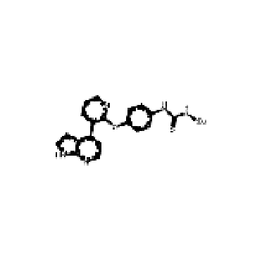 CC(C)(C)NC(=O)Nc1ccc(Oc2ncccc2-c2ccnc3[nH]ccc23)cc1